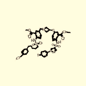 COC(=O)c1cc(CN2CC(Oc3ccc(NS(=O)(=O)c4cnn(-c5ccc(F)cc5)c4)c(C(=O)OC)c3)C2)ccc1NS(=O)(=O)CCCCCc1ccc(Cl)cc1